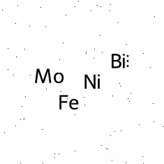 [Bi].[Fe].[Mo].[Ni]